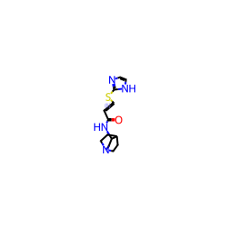 O=C(/C=C/Sc1ncc[nH]1)NC1CN2CCC1CC2